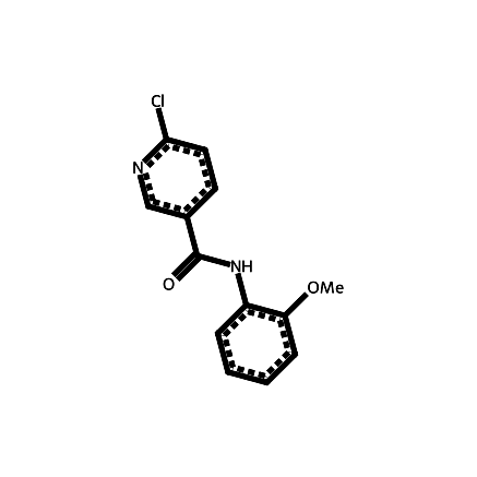 COc1ccccc1NC(=O)c1ccc(Cl)nc1